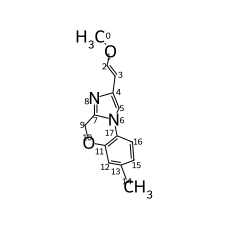 CO/C=C/c1cn2c(n1)COc1cc(C)ccc1-2